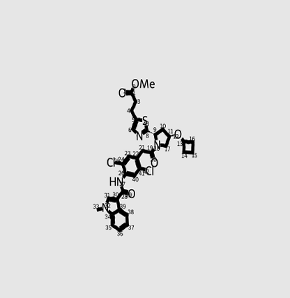 COC(=O)CCc1cnc([C@@H]2C[C@H](OC3CCC3)CN2C(=O)Cc2cc(Cl)c(NC(=O)c3cn(C)c4ccccc34)cc2Cl)s1